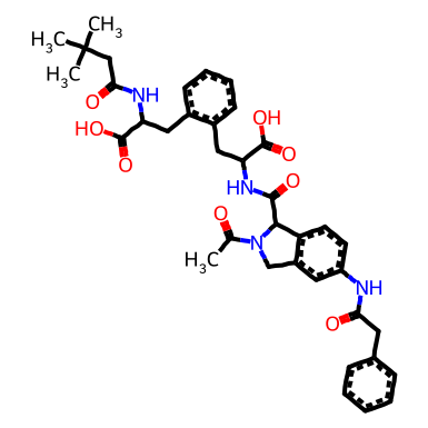 CC(=O)N1Cc2cc(NC(=O)Cc3ccccc3)ccc2C1C(=O)NC(Cc1ccccc1CC(NC(=O)CC(C)(C)C)C(=O)O)C(=O)O